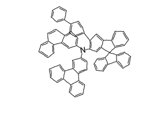 c1ccc(-c2ccc(-c3cc4c(cc3N(c3ccc5ccc6ccccc6c5c3)c3ccc5c6ccccc6c6ccccc6c5c3)C3(c5ccccc5-c5ccccc53)c3ccccc3-4)cc2)cc1